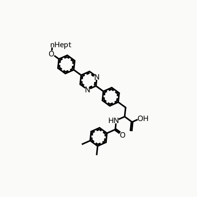 C=C(O)C(Cc1ccc(-c2ncc(-c3ccc(OCCCCCCC)cc3)cn2)cc1)NC(=O)c1ccc(C)c(C)c1